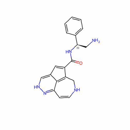 NC[C@@H](NC(=O)c1cc2c[nH]nc3c-2c1CNC=C3)c1ccccc1